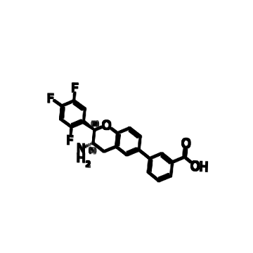 N[C@H]1Cc2cc(-c3cccc(C(=O)O)c3)ccc2O[C@@H]1c1cc(F)c(F)cc1F